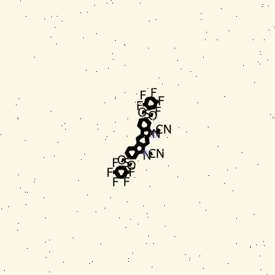 N#C/N=c1\c2cc(S(=O)(=O)c3c(F)c(F)c(F)c(F)c3F)ccc2c2cc3c(cc12)/c(=N\C#N)c1cc(S(=O)(=O)c2c(F)c(F)c(F)c(F)c2F)ccc13